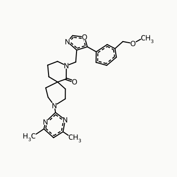 COCc1cccc(-c2ocnc2CN2CCCC3(CCN(c4nc(C)cc(C)n4)CC3)C2=O)c1